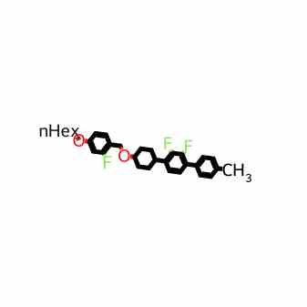 CCCCCCOc1ccc(COC2CCC(c3ccc(-c4ccc(C)cc4)c(F)c3F)CC2)c(F)c1